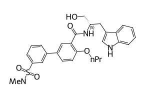 CCCOc1ccc(-c2cccc(S(=O)(=O)NC)c2)cc1C(=O)N[C@H](CO)Cc1c[nH]c2ccccc12